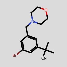 CC(C)(C#N)c1cc(Br)cc(CN2CCOCC2)c1